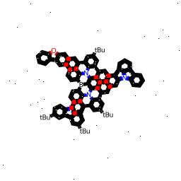 CC(C)(C)c1cc(-c2ccccc2)c(N2c3cc(-c4ccc5oc6ccccc6c5c4)ccc3B3c4ccc(-n5c6ccc(C(C)(C)C)cc6c6cc(C(C)(C)C)ccc65)cc4N(c4c(-c5ccccc5)cc(C(C)(C)C)cc4-c4ccccc4)c4cc(-c5ccc6c(c5)c5cccc7c8ccccc8n6c75)cc2c43)c(-c2ccccc2)c1